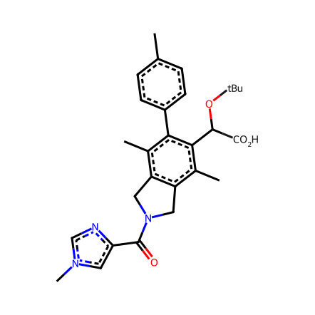 Cc1ccc(-c2c(C)c3c(c(C)c2C(OC(C)(C)C)C(=O)O)CN(C(=O)c2cn(C)cn2)C3)cc1